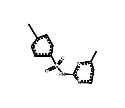 Cc1ccc(S(=O)(=O)Nc2nccc(C)n2)cc1